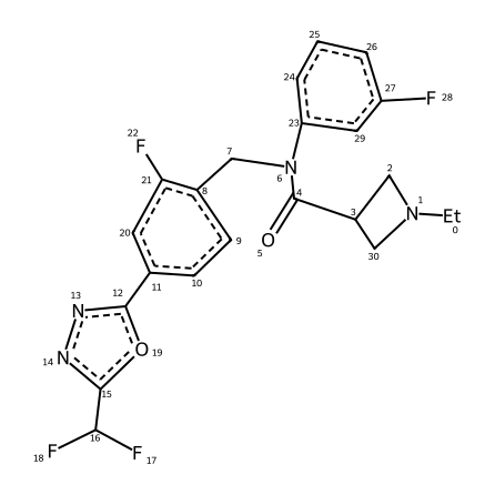 CCN1CC(C(=O)N(Cc2ccc(-c3nnc(C(F)F)o3)cc2F)c2cccc(F)c2)C1